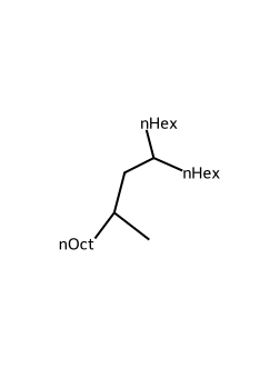 CCCCCCCCC(C)CC(CCCCCC)CCCCCC